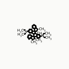 CCN(CC)c1ccc2c(c1)C1=C(c3cc(N(CC)CC)ccc3C13c1ccccc1[C@H](C)[C@@H]3C)C21c2ccccc2[C@H](C)[C@@H]1C